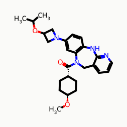 CO[C@H]1CC[C@H](C(=O)N2Cc3cccnc3Nc3ccc(N4CC(OC(C)C)C4)cc32)CC1